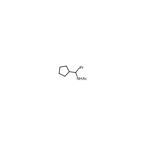 CC(=O)NC(C(C)C)C1CCCC1